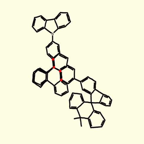 CC1(C)c2ccccc2C2(c3ccccc3-c3ccc(-c4ccc(N(c5ccc(-n6c7ccccc7c7ccccc76)cc5)c5ccccc5-c5ccccc5-c5ccccc5-c5ccccc5)cc4)cc32)c2ccccc21